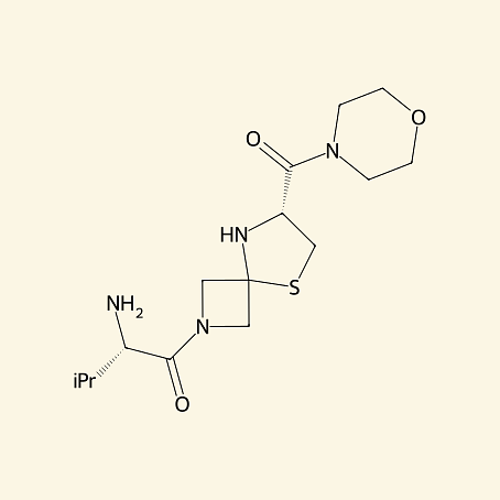 CC(C)[C@H](N)C(=O)N1CC2(C1)N[C@H](C(=O)N1CCOCC1)CS2